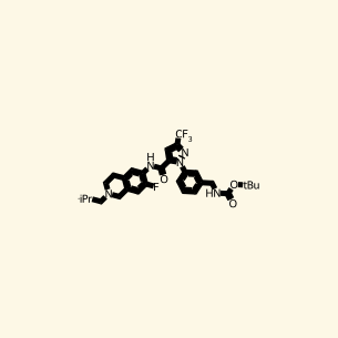 C[C](C)CN1CCc2cc(NC(=O)c3cc(C(F)(F)F)nn3-c3cccc(CNC(=O)OC(C)(C)C)c3)c(F)cc2C1